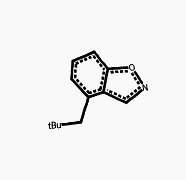 CC(C)(C)Cc1cccc2oncc12